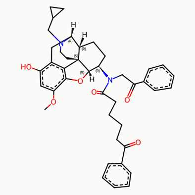 COc1cc(O)c2c3c1O[C@H]1[C@H](N(CC(=O)c4ccccc4)C(=O)CCCCC(=O)c4ccccc4)CC[C@H]4[C@@H](C2)N(CC2CC2)CC[C@@]341